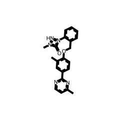 Cc1ccnc(-c2ccc(OCc3ccccc3-n3[nH]n(C)c3=O)c(C)c2)n1